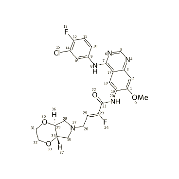 COc1cc2ncnc(Nc3ccc(F)c(Cl)c3)c2cc1NC(=O)/C(F)=C/CN1C[C@@H]2OCCO[C@H]2C1